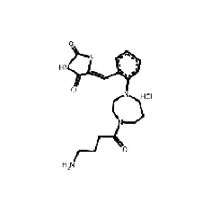 Cl.NCCCC(=O)N1CCCN(c2ccccc2/C=C2\SC(=O)NC2=O)CC1